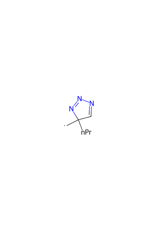 [CH2]C1(CCC)C=NN=N1